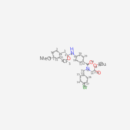 COc1ccc(CC(=O)Nc2ccc(C(=O)N(CC(=O)OC(C)(C)C)Cc3ccc(Br)cc3)cc2)c(C(F)(F)F)c1